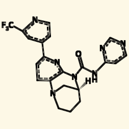 O=C(Nc1ccncn1)N1c2nc(-c3ccnc(C(F)(F)F)c3)ccc2N2CCC[C@H]1C2